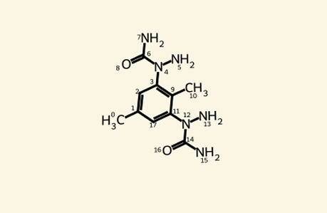 Cc1cc(N(N)C(N)=O)c(C)c(N(N)C(N)=O)c1